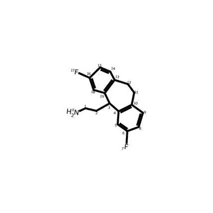 NCCC1c2cc(F)ccc2CCc2ccc(F)cc21